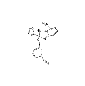 N#Cc1cccc(CSC2(c3ccco3)N=C3C=CN=C(N)N3N2)c1